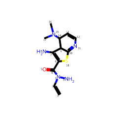 C=CN(N)C(=O)C1=C(N)C2C(=NC=CC2N(C)C)S1